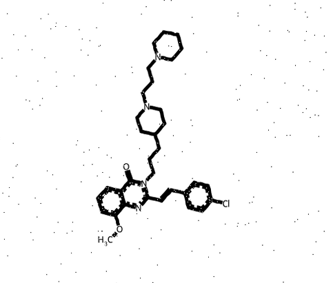 COc1cccc2c(=O)n(CCCC3CCN(CCCN4CCCCC4)CC3)c(/C=C/c3ccc(Cl)cc3)nc12